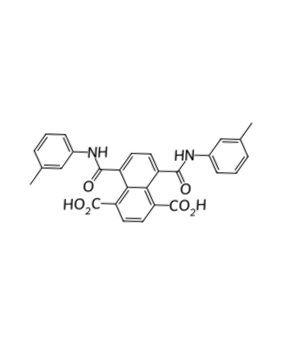 Cc1cccc(NC(=O)c2ccc(C(=O)Nc3cccc(C)c3)c3c(C(=O)O)ccc(C(=O)O)c23)c1